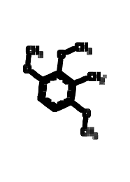 [CH2]c1c(OC)ccc(OC)c1OC